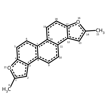 Cc1cc2c(ccc3c2ccc2c4cc(C)oc4ccc23)o1